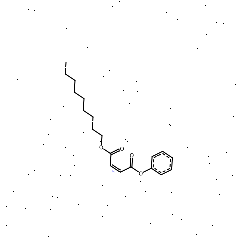 CCCCCCCCCOC(=O)/C=C\C(=O)Oc1ccccc1